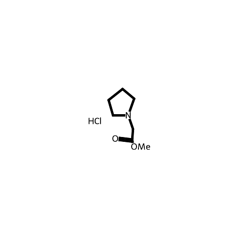 COC(=O)CN1CCCC1.Cl